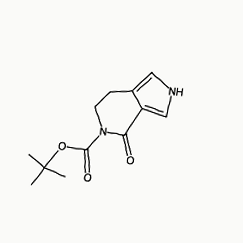 CC(C)(C)OC(=O)N1CCc2c[nH]cc2C1=O